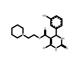 CCC1=C(C(=O)OCCN2CCCCC2)C(c2cccc(O)c2)NC(=O)N1